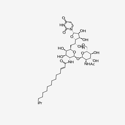 CC(=O)N[C@H]1[C@@H](O[C@@H]2O[C@H](C[C@@H](O)[C@@H]3O[C@H](n4ccc(=O)[nH]c4=O)[C@@H](O)[C@H]3O)[C@H](O)[C@H](O)[C@H]2NC(=O)/C=C/CCCCCCCCCCC(C)C)O[C@H](CO)[C@@H](O)[C@@H]1O